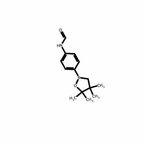 CC1(C)CB(c2ccc(NC=O)cc2)OC1(C)C